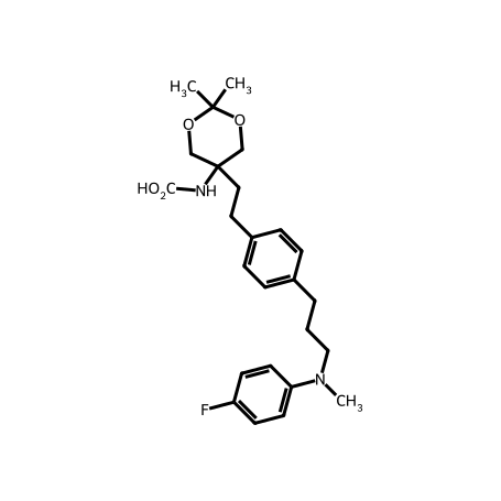 CN(CCCc1ccc(CCC2(NC(=O)O)COC(C)(C)OC2)cc1)c1ccc(F)cc1